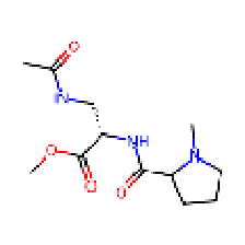 COC(=O)[C@H](CNC(C)=O)NC(=O)C1CCCN1C